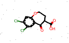 O=C(O)C1CCOc2cc(Cl)c(Cl)cc2C1=O